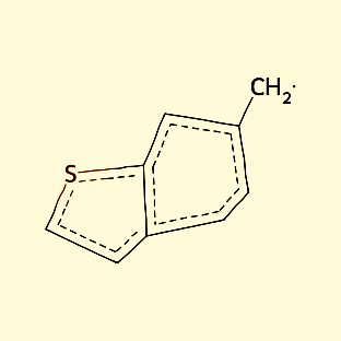 [CH2]c1ccc2ccsc2c1